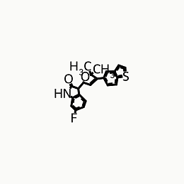 CC1(C)OC(C2C(=O)Nc3cc(F)ccc32)C=C1c1ccc2sccc2c1